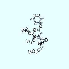 CN(C(=O)OC(C)(C)C)[C@@H](CCOc1ccccc1)C(=O)NCC(=O)O